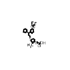 Cc1cc(SC/C=C(/c2ccccc2)c2cccc(OC(F)(F)F)c2)ccc1OCC(=O)O